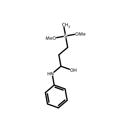 CO[Si](C)(CCC(O)Nc1ccccc1)OC